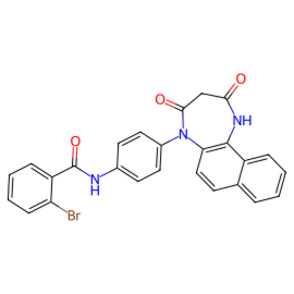 O=C1CC(=O)N(c2ccc(NC(=O)c3ccccc3Br)cc2)c2ccc3ccccc3c2N1